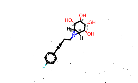 O[C@H]1[C@H](O)[C@@H](O)[C@H]2[C@@H]([C@@H]1O)N2CCC#Cc1ccc(F)cc1